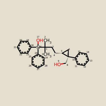 CC(C)(CC[C@@H]1C[C@@]1(CO)c1ccccc1)[Si](O)(c1ccccc1)c1ccccc1